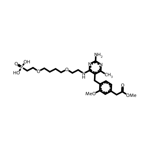 COC(=O)Cc1ccc(Cc2c(C)nc(N)nc2NCCOCCCCOCCP(=O)(O)O)c(OC)c1